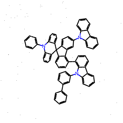 c1ccc(-c2cccc(-n3c4ccccc4c4cccc(-c5cccc6c5-c5cc(-n7c8ccccc8c8ccccc87)ccc5C65c6ccccc6N(c6ccccc6)c6ccccc65)c43)c2)cc1